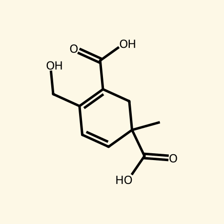 CC1(C(=O)O)C=CC(CO)=C(C(=O)O)C1